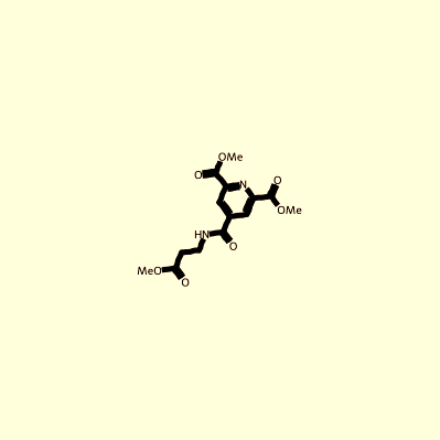 COC(=O)CCNC(=O)c1cc(C(=O)OC)nc(C(=O)OC)c1